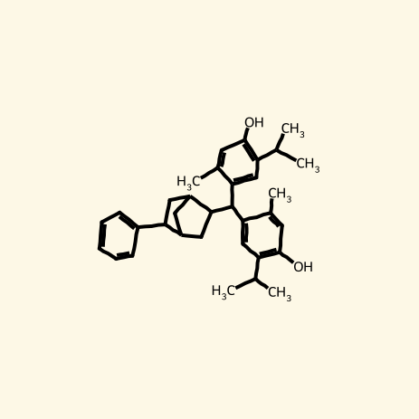 Cc1cc(O)c(C(C)C)cc1C(c1cc(C(C)C)c(O)cc1C)C1CC2CC1CC2c1ccccc1